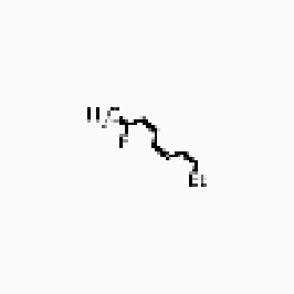 C=C(F)\C=C/C=C\C=C/CC